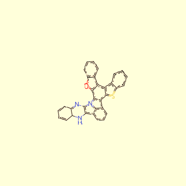 C1=CC2=Nc3c(c4cccc5c6c7sc8ccccc8c7c7c8ccccc8oc7c6n3c45)NC2C=C1